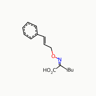 CCC(C)C(=NOCC=Cc1ccccc1)C(=O)O